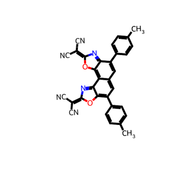 Cc1ccc(-c2cc3cc(-c4ccc(C)cc4)c4oc(=C(C#N)C#N)nc4c3c3oc(=C(C#N)C#N)nc23)cc1